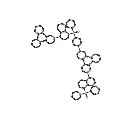 O=P(c1ccccc1)(c1ccc(-c2ccc3c4ccc(-c5cccc6c(P(=O)(c7ccccc7)c7ccccc7)cccc56)cc4c4ccccc4c3c2)cc1)c1ccc(-c2ccc3c4ccccc4c4ccccc4c3c2)c2ccccc12